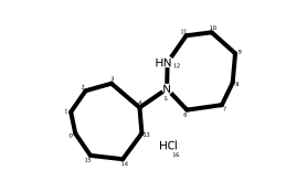 C1CCCC(N2CCCCCCN2)CCC1.Cl